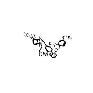 COCCn1c(Cc2ccc(-c3cccnc3OCc3ccc(C#N)cc3F)cc2F)nc2c(C(=O)O)cccc21